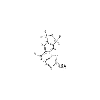 C/C(=C/c1ccc(C(=O)O)cc1)c1ccc2c(c1)C(C)(C)CC2(C)C